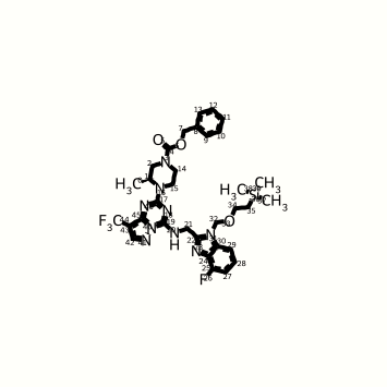 C[C@H]1CN(C(=O)OCc2ccccc2)CCN1c1nc(NCc2nc3c(F)cccc3n2COCC[Si](C)(C)C)n2ncc(C(F)(F)F)c2n1